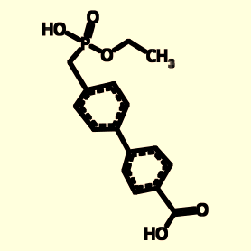 CCOP(=O)(O)Cc1ccc(-c2ccc(C(=O)O)cc2)cc1